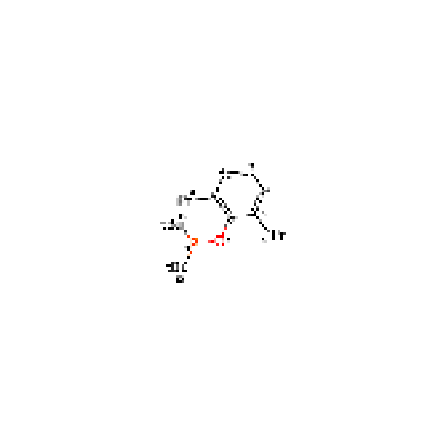 CC(C)c1cccc(C(C)C)c1OP(C(C)(C)C)C(C)(C)C